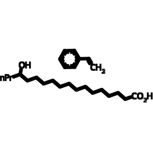 C=Cc1ccccc1.CCCC(O)CCCCCCCCCCCCCC(=O)O